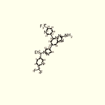 CCC(c1ccc(C(F)F)nc1)n1cc(-c2cc(-c3ccc(C(F)(F)F)nc3)n3nc(N)nc3c2)cn1